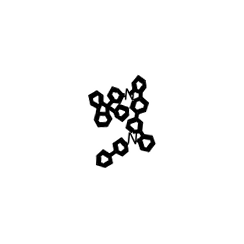 c1ccc(-c2ccc(-n3c4ccccc4c4cc(-c5ccc6c7ccccc7n(-c7cccc(C8(c9ccccc9)c9ccccc9-c9ccccc98)c7)c6c5)ccc43)cc2)cc1